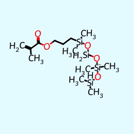 C=C(C)C(=O)OCCC[Si](C)(C)O[SiH2]O[Si](C)(C)O[SiH](C)C